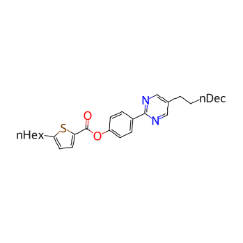 CCCCCCCCCCCCc1cnc(-c2ccc(OC(=O)c3ccc(CCCCCC)s3)cc2)nc1